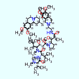 CC[C@H]1CN2CCc3cc(OC)c(OC)cc3C2C[C@@H]1C[C@@H]1c2cc(OC)c(OC)cc2CCN1CCNC(=O)[C@H](C)[C@@H](OC)C1CCCN1C(=O)C[C@@H](OC)C([C@@H](C)CC)N(C)C(=O)[C@@H](NC(=O)[C@H](C(C)C)N(C)C)C(C)C